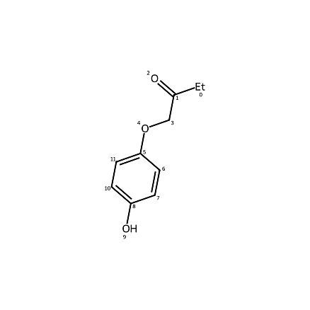 CCC(=O)COc1ccc(O)cc1